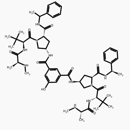 CN[C@@H](C)C(=O)N[C@H](C(=O)N1C[C@@H](NC(=O)c2cc(O)cc(C(=O)N[C@H]3C[C@@H](C(=O)N[C@H](C)c4ccccc4)N(C(=O)[C@@H](NC(=O)[C@H](C)NC)C(C)(C)C)C3)c2)C[C@H]1C(=O)NC(C)c1ccccc1)C(C)(C)C